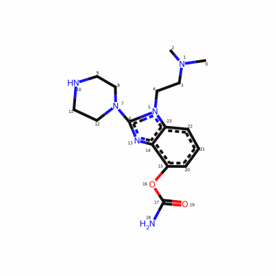 CN(C)CCn1c(N2CCNCC2)nc2c(OC(N)=O)cccc21